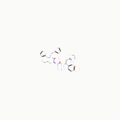 CCCC[C@H](NC(=O)NC(CC1=NCCO1)c1ccc2c(c1)OCO2)C(=O)N(Cc1cccs1)Cc1cccs1